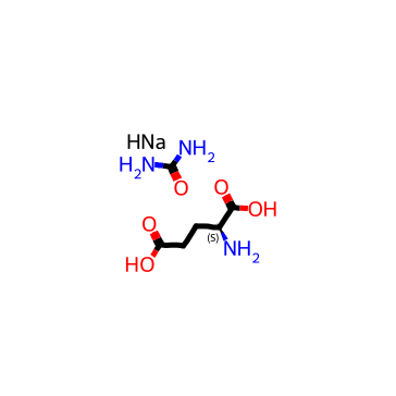 NC(N)=O.N[C@@H](CCC(=O)O)C(=O)O.[NaH]